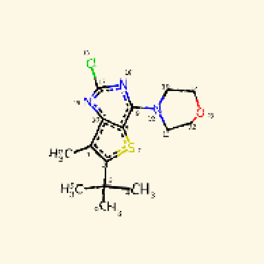 Cc1c(C(C)(C)C)sc2c(N3CCOCC3)nc(Cl)nc12